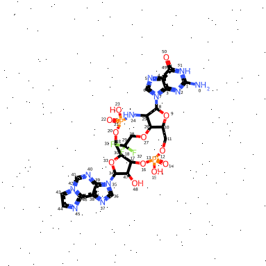 Nc1nc2c(ncn2C2OC3COP(=O)(O)OC4C(COP(=O)(O)NC2C3OCC(F)(F)F)OC(n2cnc3c2ncn2ccnc32)C4O)c(=O)[nH]1